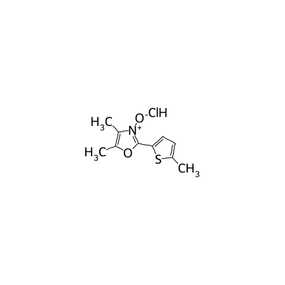 Cc1ccc(-c2oc(C)c(C)[n+]2[O-])s1.Cl